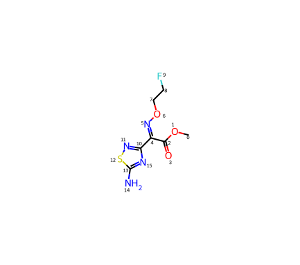 COC(=O)C(=NOCCF)c1nsc(N)n1